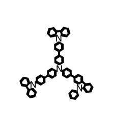 c1ccc(-n2c3ccccc3c3ccc(-c4ccc(N(c5ccc(-c6ccc(-n7c8ccccc8c8ccccc87)cc6)cc5)c5ccc(-c6ccc(-n7c8ccccc8c8ccccc87)cc6)cc5)cc4)cc32)cc1